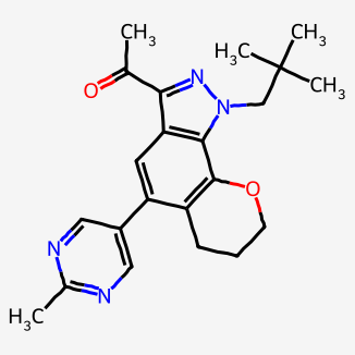 CC(=O)c1nn(CC(C)(C)C)c2c3c(c(-c4cnc(C)nc4)cc12)CCCO3